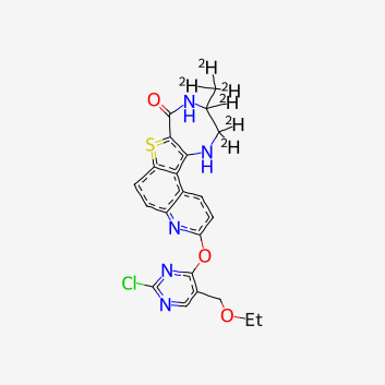 [2H]C([2H])([2H])C1([2H])NC(=O)c2sc3ccc4nc(Oc5nc(Cl)ncc5COCC)ccc4c3c2NC1([2H])[2H]